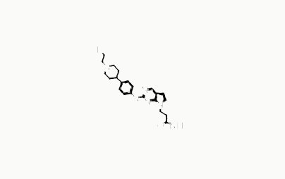 NC(=O)CCn1ccc2cnc(Nc3ccc(C4CCN(CCF)CC4)cc3)nc21